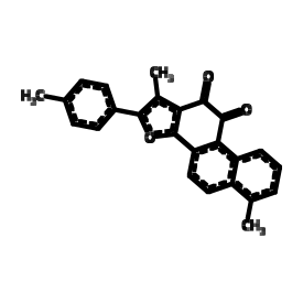 Cc1ccc(-c2oc3c(c2C)C(=O)C(=O)c2c-3ccc3c(C)cccc23)cc1